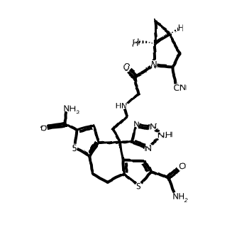 N#CC1C[C@@H]2C[C@@H]2N1C(=O)CNCCC1(c2nn[nH]n2)c2cc(C(N)=O)sc2CCc2sc(C(N)=O)cc21